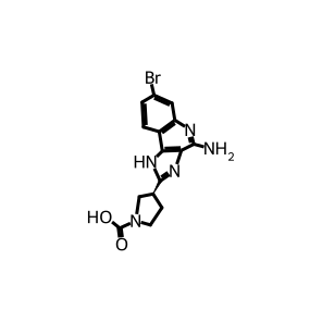 Nc1nc2cc(Br)ccc2c2[nH]c([C@H]3CCN(C(=O)O)C3)nc12